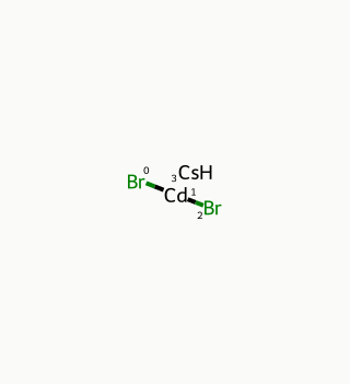 [Br][Cd][Br].[CsH]